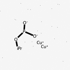 CC(C)OP([O-])[O-].[Cu+].[Cu+]